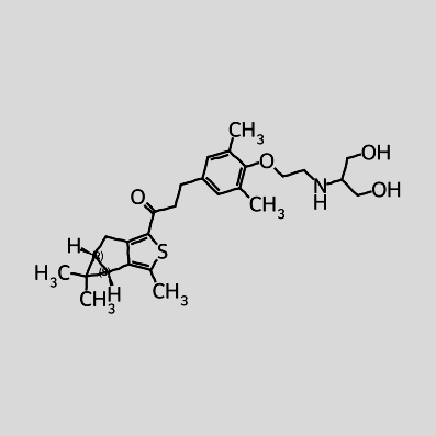 Cc1cc(CCC(=O)c2sc(C)c3c2C[C@@H]2[C@H]3C2(C)C)cc(C)c1OCCNC(CO)CO